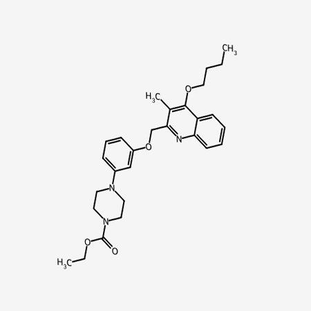 CCCCOc1c(C)c(COc2cccc(N3CCN(C(=O)OCC)CC3)c2)nc2ccccc12